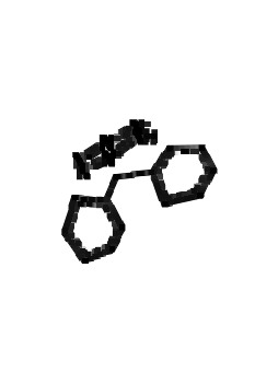 [N-]=[N+]=N.[N-]=[N+]=[N-].c1ccc(Cc2ccccc2)cc1